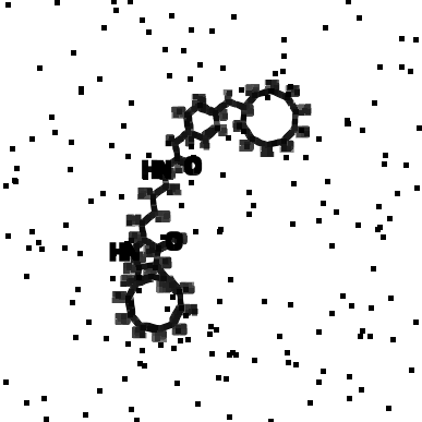 O=C(Cc1ccc(CC2CCCCCCCCC2)cc1)NCCCCC1NC2c3cccccccc(c3)C2C1=O